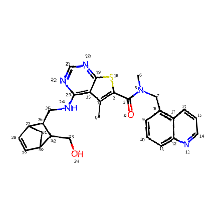 Cc1c(C(=O)N(C)Cc2cccc3ncccc23)sc2ncnc(NCC3C4C=CC(C4)C3CO)c12